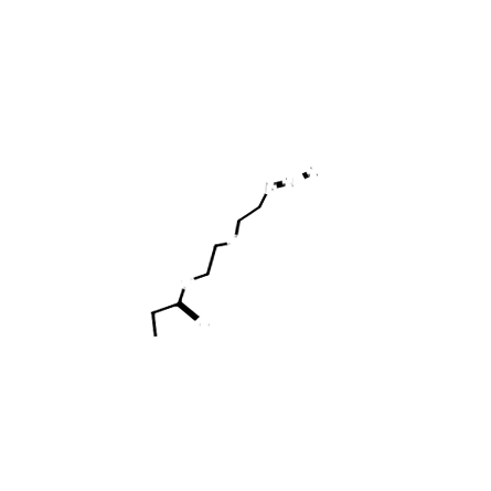 CCC(=O)OCCOCCN=[N+]=[N-]